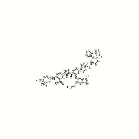 CCOc1nc2[nH]cc(F)c2cc1Oc1cc(N2CCC3(CC2)CN([C@@H]2CCC[C@@H]2c2ccccc2C(C)C)C3)ccc1C(=O)NS(=O)(=O)c1cnc(NC[C@H]2CC[C@](C)(O)CC2)c([N+](=O)[O-])c1